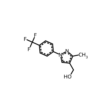 Cc1nn(-c2ccc(C(F)(F)F)cc2)cc1CO